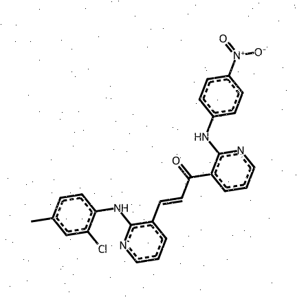 Cc1ccc(Nc2ncccc2/C=C/C(=O)c2cccnc2Nc2ccc([N+](=O)[O-])cc2)c(Cl)c1